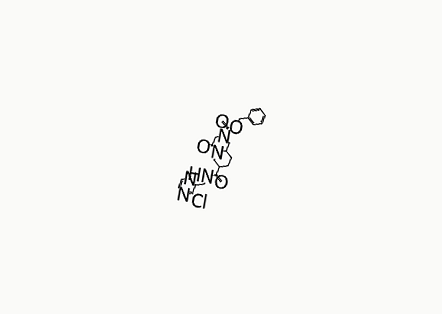 O=C(NCc1nccnc1Cl)C1CCC2CN(C(=O)OCc3ccccc3)CC(=O)N2C1